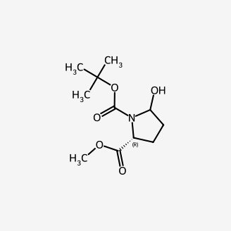 COC(=O)[C@H]1CCC(O)N1C(=O)OC(C)(C)C